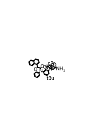 CCCS(=O)(=O)N(CC(N)=O)c1cc(C(C)(C)C)cc(N(C(=O)C(=O)c2cccc3ccccc23)c2ccccc2)c1OC